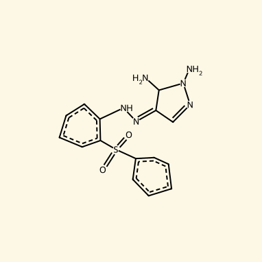 NC1C(=NNc2ccccc2S(=O)(=O)c2ccccc2)C=NN1N